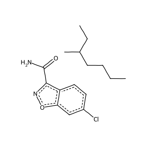 CCCCC(C)CC.NC(=O)c1noc2cc(Cl)ccc12